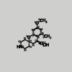 COc1cc(C)c2c(c1)OC1(CCNCC1)CC2=O.Cl